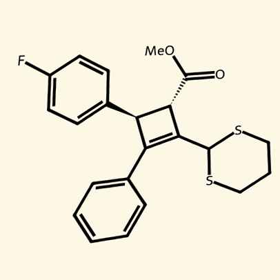 COC(=O)[C@@H]1C(C2SCCCS2)=C(c2ccccc2)[C@H]1c1ccc(F)cc1